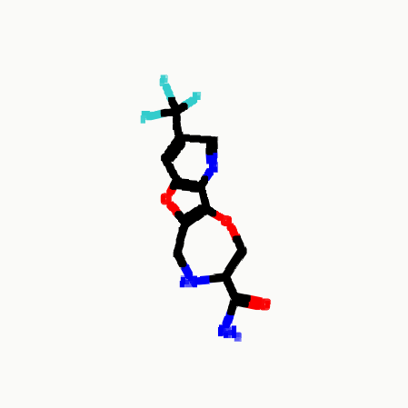 NC(=O)C1COc2c(oc3cc(C(F)(F)F)cnc23)CN1